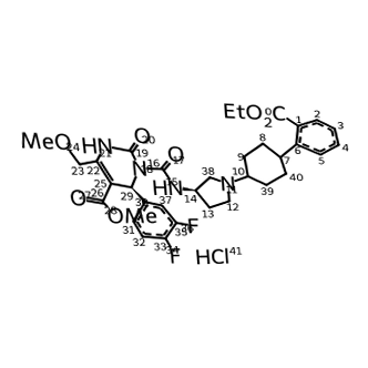 CCOC(=O)c1ccccc1C1CCC(N2CC[C@@H](NC(=O)N3C(=O)NC(COC)=C(C(=O)OC)[C@@H]3c3ccc(F)c(F)c3)C2)CC1.Cl